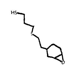 SCCCSCCC1CCC2OC2C1